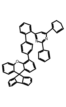 C1=CC(c2cc(-c3ccccc3-c3ccc(-c4cccc5c4Oc4ccccc4C54c5ccccc5-c5ccccc54)cc3)nc(-c3ccccc3)n2)=CCC1